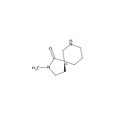 CN1CC[C@@]2(CCCNC2)C1=O